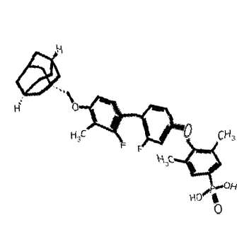 Cc1cc(P(=O)(O)O)cc(C)c1Oc1ccc(-c2ccc(OC[C@]34CC5C[C@@H](C[C@H](C5)C3)C4)c(C)c2F)c(F)c1